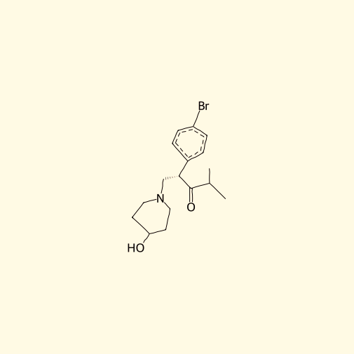 CC(C)C(=O)[C@H](CN1CCC(O)CC1)c1ccc(Br)cc1